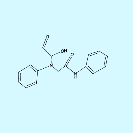 O=CC(O)N(CC(=O)Nc1ccccc1)c1ccccc1